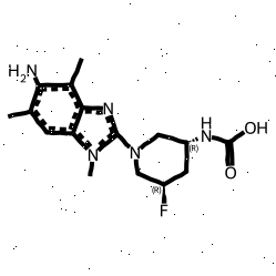 Cc1cc2c(nc(N3C[C@H](F)C[C@@H](NC(=O)O)C3)n2C)c(C)c1N